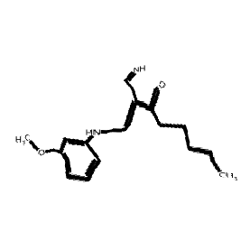 CCCCCC(=O)/C(C=N)=C/Nc1cccc(OC)c1